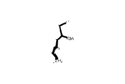 C=CCCC(O)CI